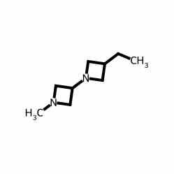 CCC1CN(C2CN(C)C2)C1